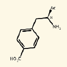 CC(=O)[C@@H](N)Cc1ccc(C(=O)O)cc1